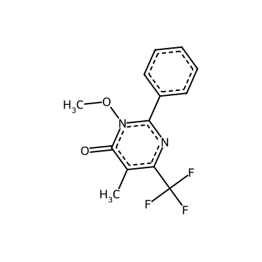 COn1c(-c2ccccc2)nc(C(F)(F)F)c(C)c1=O